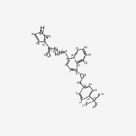 O=C(N/N=C/c1ccc(OCc2ccc(C(F)(F)F)cc2)c2ccccc12)c1cc[nH]n1